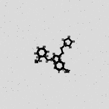 Brc1ccc2c(c1)c(CCN1CCCC1)cn2Cc1ccccc1Br